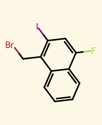 Fc1cc(I)c(CBr)c2ccccc12